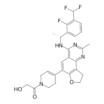 Cc1nc(N[C@H](C)c2cccc(C(F)F)c2F)c2cc(C3=CCN(C(=O)CO)CC3)c3c(c2n1)CCO3